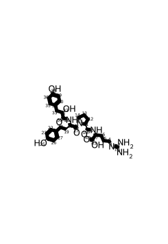 NC(N)=NCCCC(NC(=O)[C@@H]1CCCN1C(=O)[C@@H](CCc1ccc(O)cc1)NC(=O)[C@H](O)Cc1ccc(O)cc1)C(=O)O